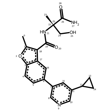 Cc1oc2ccc(-c3cncc(C4CC4)c3)cc2c1C(=O)N[C@@](C)(CO)C(N)=O